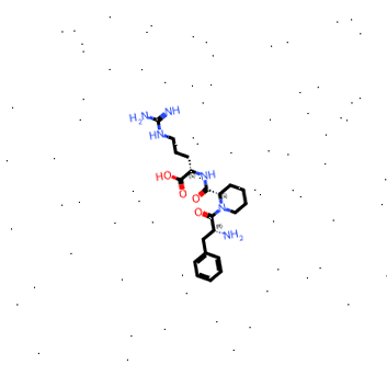 N=C(N)NCCC[C@H](NC(=O)[C@@H]1CCCCN1C(=O)[C@H](N)Cc1ccccc1)C(=O)O